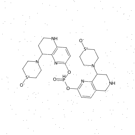 O=[PH](Oc1ccc2c(n1)C(N1CC[S+]([O-])CC1)CNC2)Oc1ccc2c(n1)C(N1CC[S+]([O-])CC1)CCN2